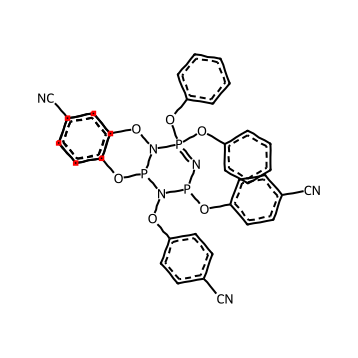 N#Cc1ccc(ON2P(Oc3ccc(C#N)cc3)N=P(Oc3ccccc3)(Oc3ccccc3)N(Oc3ccccc3)P2Oc2ccc(C#N)cc2)cc1